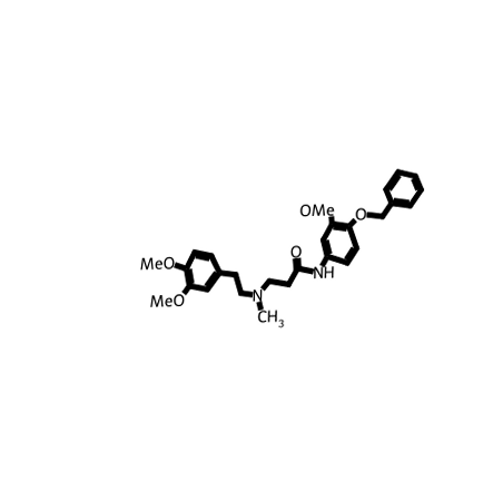 COc1ccc(CCN(C)CCC(=O)Nc2ccc(OCc3ccccc3)c(OC)c2)cc1OC